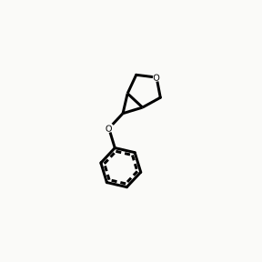 c1ccc(OC2C3COCC32)cc1